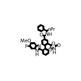 CCCC(NC(=O)c1ccc(-c2c(Cl)cccc2-c2nc3cc(OC)c(F)cc3[nH]2)c(-c2n[nH]c(=O)o2)c1)c1ccccc1